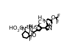 Cc1sc(C(=O)N[C@@H]2[C@H](N(C(=O)O)C(C)(C)C)CCCC2(F)F)cc1-c1cnn2cc(OC(F)F)cnc12